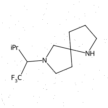 CC(C)C(N1CCC2(CCCN2)C1)C(F)(F)F